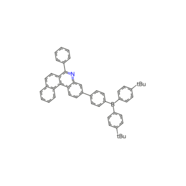 CC(C)(C)c1ccc(B(c2ccc(-c3ccc4c(c3)nc(-c3ccccc3)c3ccc5ccccc5c34)cc2)c2ccc(C(C)(C)C)cc2)cc1